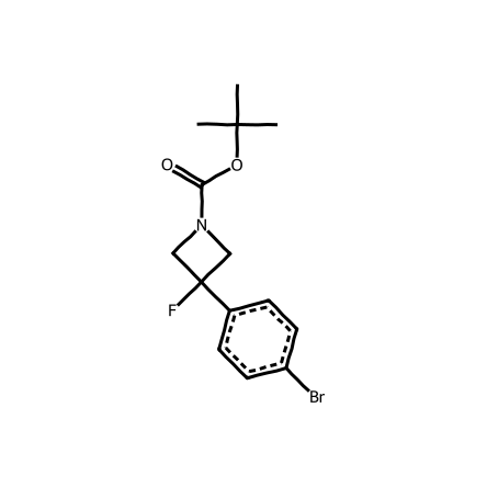 CC(C)(C)OC(=O)N1CC(F)(c2ccc(Br)cc2)C1